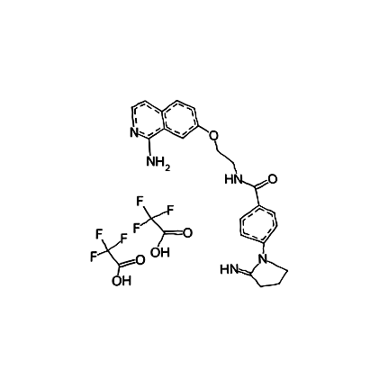 N=C1CCCN1c1ccc(C(=O)NCCOc2ccc3ccnc(N)c3c2)cc1.O=C(O)C(F)(F)F.O=C(O)C(F)(F)F